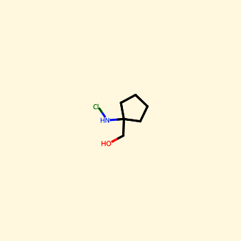 OCC1(NCl)CCCC1